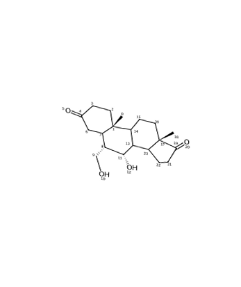 C[C@]12CCC(=O)CC1[C@@H](CO)[C@@H](O)C1C2CC[C@]2(C)C(=O)CCC12